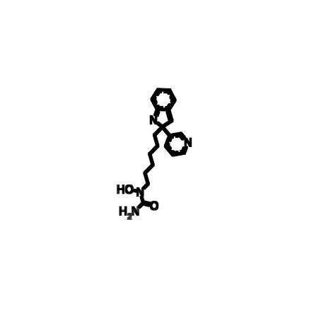 NC(=O)N(O)CCCCCCC1(c2cccnc2)C=c2ccccc2=N1